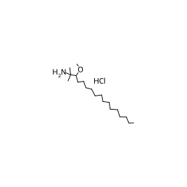 CCCCCCCCCCCCCCC(OC)C(C)(C)N.Cl